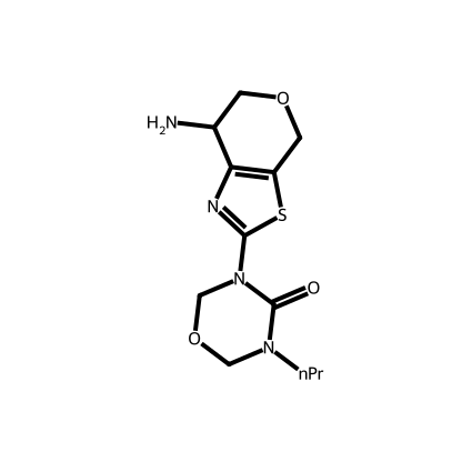 CCCN1COCN(c2nc3c(s2)COCC3N)C1=O